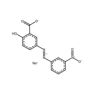 O=C([O-])c1cc(/N=N/c2cccc([N+](=O)[O-])c2)ccc1O.[Na+]